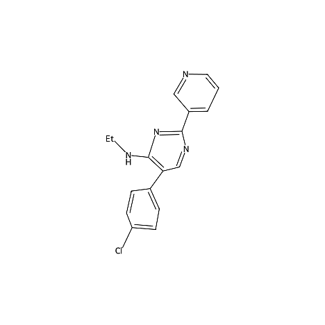 CCNc1nc(-c2cccnc2)ncc1-c1ccc(Cl)cc1